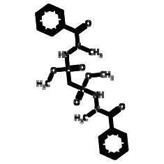 COP(=O)(CP(=O)(NN(C)C(=O)c1ccccc1)OC)NN(C)C(=O)c1ccccc1